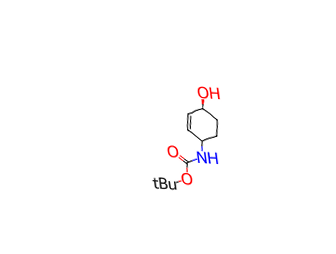 CC(C)(C)OC(=O)NC1C=C[C@@H](O)CC1